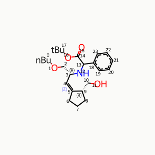 CCCCOC[C@@H](/C=C1/CCC[C@H]1CO)NC(C(=O)OC(C)(C)C)c1ccccc1